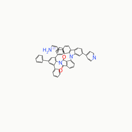 C=C(/C=C\N)c1ccc2c3ccc(-c4ccncc4)cc3n(-c3cccc4c3C(=O)N(c3c(-c5ccccc5)cc(-c5ccccc5)cc3-c3ccccc3)C4=O)c2c1